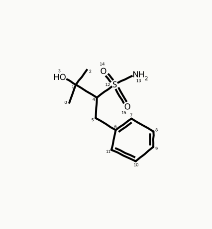 CC(C)(O)C(Cc1ccccc1)S(N)(=O)=O